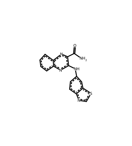 NC(=O)c1nc2ccccc2nc1Nc1ccc2ncsc2c1